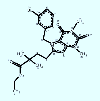 CCOC(=O)C(C)(C)CCc1nc2c(c(=O)n(C)c(=O)n2C)n1Cc1cccc(Br)c1